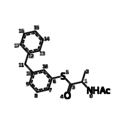 CC(=O)NC(C)C(=O)Sc1cccc(Cc2ccccc2)c1